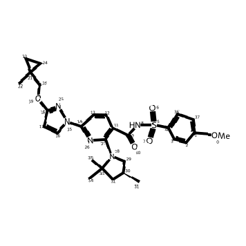 COc1ccc(S(=O)(=O)NC(=O)c2ccc(-n3ccc(OCC4(C)CC4)n3)nc2N2C[C@@H](C)CC2(C)C)cc1